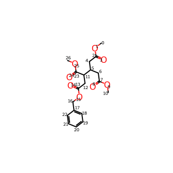 COC(=O)CC(CC(=O)OC)C(CC(=O)OCc1ccccc1)C(=O)OC